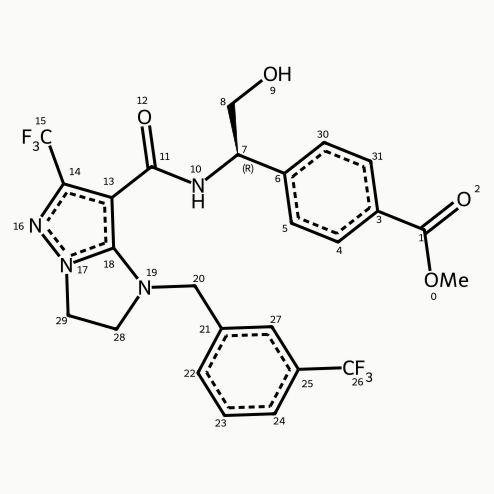 COC(=O)c1ccc([C@H](CO)NC(=O)c2c(C(F)(F)F)nn3c2N(Cc2cccc(C(F)(F)F)c2)CC3)cc1